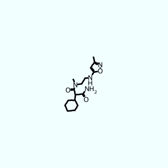 Cc1cc(NCCN(C)C(=O)C(C(N)=O)C2CCCCC2)on1